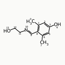 Cc1cc(O)cc(C)c1/C=N/CCO